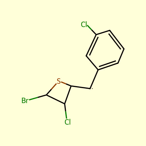 Clc1cccc([CH]C2SC(Br)C2Cl)c1